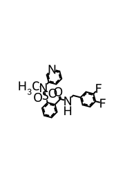 CN(c1cccnc1)S(=O)(=O)c1ccccc1C(=O)NCc1ccc(F)c(F)c1